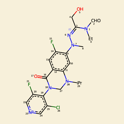 CCN(C=O)/C(CO)=N\N(C)c1cc2c(cc1F)C(=O)N(c1c(F)cncc1Cl)CN2C(C)C